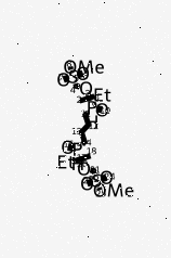 CCC(C)(OCS(=O)(=O)OC)[PH](=O)CCCC[PH](=O)C(C)(CC)OCS(=O)(=O)OC